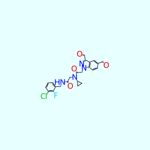 O=Cc1ccc2c(c1)c(C=O)nn2CC(=O)N(CC(=O)NCc1cccc(Cl)c1F)C1CC1